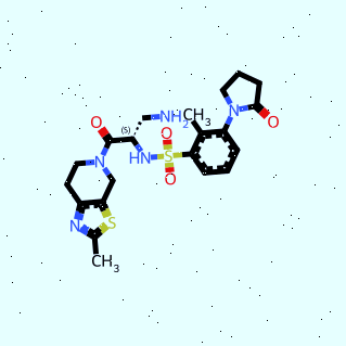 Cc1nc2c(s1)CN(C(=O)[C@H](CN)NS(=O)(=O)c1cccc(N3CCCC3=O)c1C)CC2